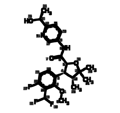 COc1c([C@@H]2[C@@H](C(=O)Nc3ccc([C@H](C)O)nc3)OC(C)(C)[C@@H]2C)ccc(F)c1C(F)F